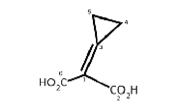 O=C(O)C(C(=O)O)=C1CC1